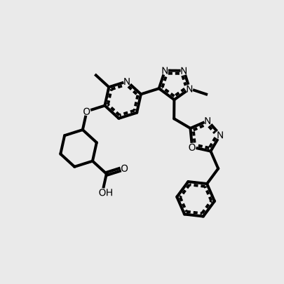 Cc1nc(-c2nnn(C)c2Cc2nnc(Cc3ccccc3)o2)ccc1OC1CCCC(C(=O)O)C1